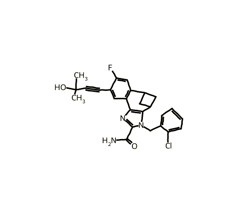 CC(C)(O)C#Cc1cc2c(cc1F)C1CC(C1)c1c-2nc(C(N)=O)n1Cc1ccccc1Cl